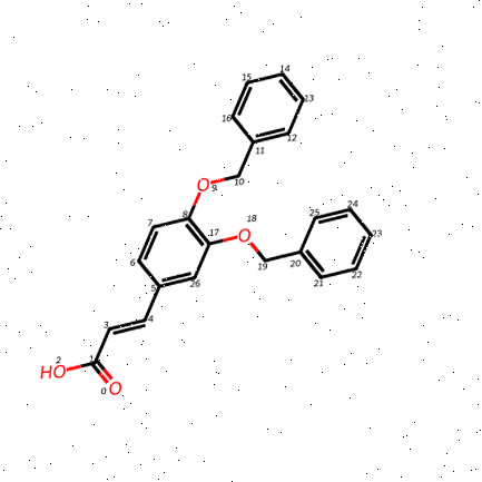 O=C(O)C=Cc1ccc(OCc2ccccc2)c(OCc2ccccc2)c1